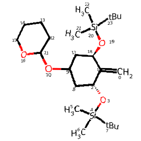 C=C1[C@H](O[Si](C)(C)C(C)(C)C)CC(OC2CCCCO2)C[C@H]1O[Si](C)(C)C(C)(C)C